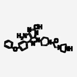 Cl.Nc1ncnc2c1c(-c1ccc(Oc3ccccc3)cc1)nn2C1CCN(C(=O)CN2CCNCC2)CC1